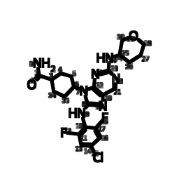 NC(=O)C1CCC(n2c(Nc3c(F)cc(Cl)cc3F)nc3cnc(N[C@@H]4CCCOC4)nc32)CC1